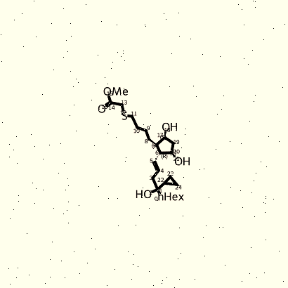 CCCCCCC(O)(CC=C[C@@H]1[C@@H](CCCCSCC(=O)OC)[C@@H](O)C[C@H]1O)C1CC1